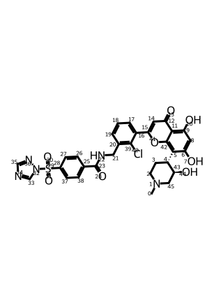 CN1CC[C@H](c2c(O)cc(O)c3c(=O)cc(-c4cccc(CNC(=O)c5ccc(S(=O)(=O)n6cncn6)cc5)c4Cl)oc23)[C@@H](O)C1